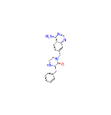 Nc1ncnc2cc(CN3CCNC(Cc4ccccc4)C3=O)ccc12